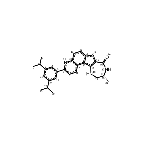 CC(C)c1cc(-c2ccc3c(ccc4sc5c(c43)NC[C@@H](C)NC5=O)n2)cc(C(C)C)c1